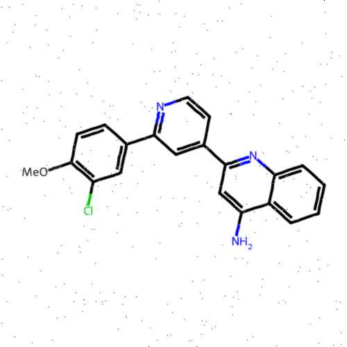 COc1ccc(-c2cc(-c3cc(N)c4ccccc4n3)ccn2)cc1Cl